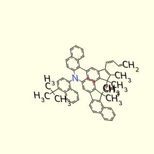 C=C/C=C\C1=C(C)C(C)(C)c2ccc(-c3c(N(c4ccc5c(c4)-c4ccc6ccccc6c4C5(C)C)c4ccc(C(C)(C)C)c5ccccc45)ccc4ccccc34)cc21